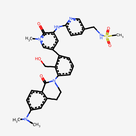 CN(C)c1ccc2c(c1)CCN(c1cccc(-c3cc(Nc4ccc(CNS(C)(=O)=O)cn4)c(=O)n(C)c3)c1CO)C2=O